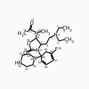 CCN(CC)CCC1C(N(C)C(C)=O)OC(=O)N1C1(N2CCNCC2)C=CC=C(F)C1